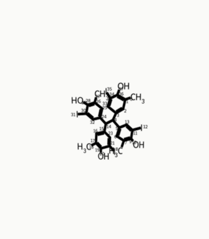 Cc1cc(C(c2cc(C)c(O)c(I)c2)C(c2cc(C)c(O)c(I)c2)c2cc(C)c(O)c(I)c2)cc(I)c1O